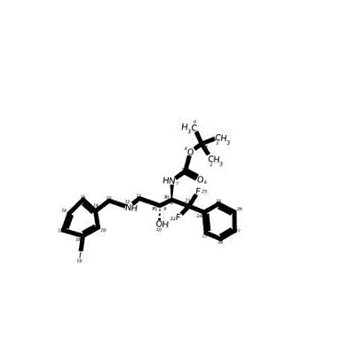 CC(C)(C)OC(=O)N[C@H]([C@H](O)CNCc1cccc(I)c1)C(F)(F)c1ccccc1